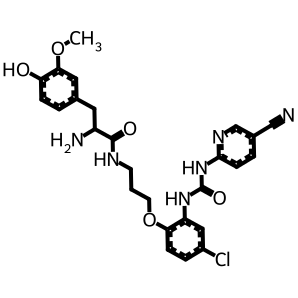 COc1cc(CC(N)C(=O)NCCCOc2ccc(Cl)cc2NC(=O)Nc2ccc(C#N)cn2)ccc1O